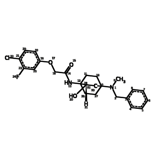 CN(Cc1ccccc1)C12CCC(NC(=O)COc3ccc(Cl)c(F)c3)(CC1)[C@@H](O)C2